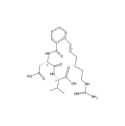 CC(C)[C@H](NC(=O)[C@H](CC(=O)O)NC(=O)c1ccccc1/C=C/CCCCNC(=N)N)C(=O)O